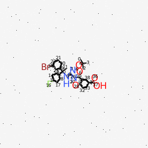 CC(C)(C)OC(=O)N=C(NC(C)(c1ccc(F)cc1)c1cccc(Br)c1)N(C=O)Cc1cccc(C(=O)O)c1